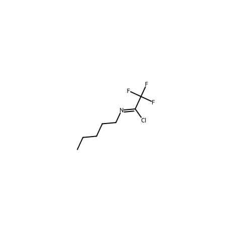 CCCCCN=C(Cl)C(F)(F)F